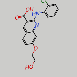 O=C(O)c1cc2ccc(OCCO)cc2nc1Nc1ccccc1Cl